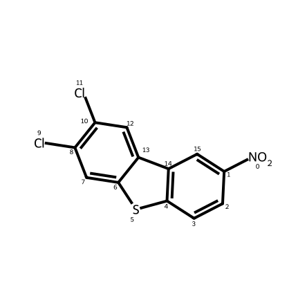 O=[N+]([O-])c1ccc2sc3cc(Cl)c(Cl)cc3c2c1